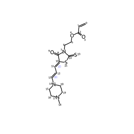 C=CC(=O)OCCN1C(=O)/C(=C/C=C/N2CCN(C)CC2)SC1=S